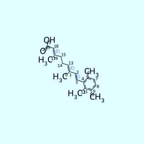 CC(/C=C/c1c(C)ccc(C)c1C)=C\CC/C(C)=C/C(=O)O